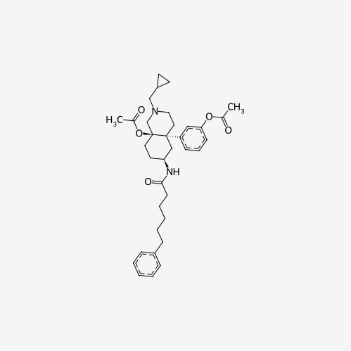 CC(=O)Oc1cccc([C@@]23CCN(CC4CC4)C[C@@]2(OC(C)=O)CC[C@H](NC(=O)CCCCCc2ccccc2)C3)c1